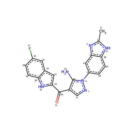 Cc1nc2cc(-n3ncc(C(=O)c4cc5cc(F)ccc5[nH]4)c3N)ccc2[nH]1